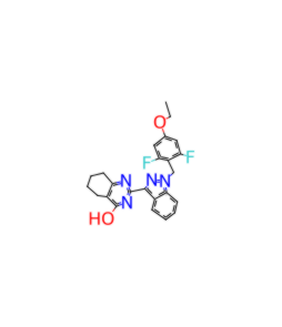 CCOc1cc(F)c(Cn2nc(-c3nc(O)c4c(n3)CCCC4)c3ccccc32)c(F)c1